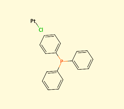 [Cl][Pt].c1ccc(P(c2ccccc2)c2ccccc2)cc1